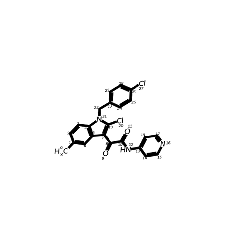 Cc1ccc2c(c1)c(C(=O)C(=O)Nc1ccncc1)c(Cl)n2Cc1ccc(Cl)cc1